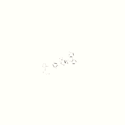 COCCN1CCCC1COc1ccc(CN2C(=O)C(C(=O)Nc3ccc(C(F)(F)F)cc3-c3cc(C(F)(F)F)ncn3)=C(O)C3(CCC3)N2C)c(F)c1F